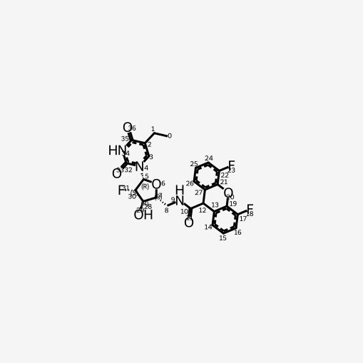 CCc1cn([C@@H]2O[C@H](CNC(=O)C3c4cccc(F)c4Oc4c(F)cccc43)[C@@H](O)[C@@H]2F)c(=O)[nH]c1=O